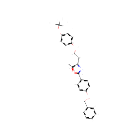 CCOC(=O)C(C)(C)Oc1ccc(OCCc2nc(-c3ccc(OCc4ccccc4)cc3)oc2C)cc1